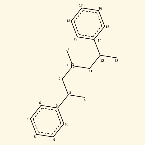 CB(CC(C)c1ccccc1)CC(C)c1ccccc1